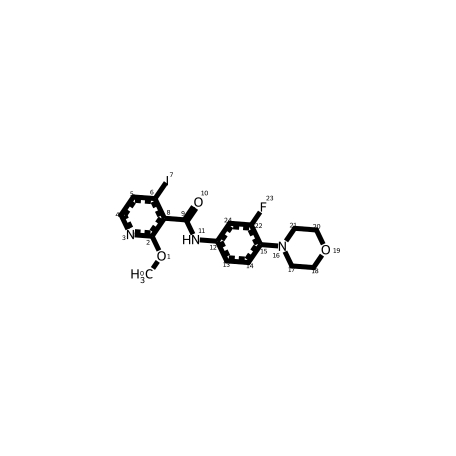 COc1nccc(I)c1C(=O)Nc1ccc(N2CCOCC2)c(F)c1